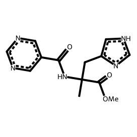 COC(=O)C(C)(Cc1c[nH]cn1)NC(=O)c1cncnc1